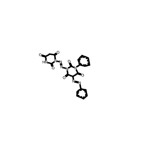 O=C1CC(=O)N(N=NN2C(=O)C(N=Nc3ccccc3)C(=O)N(c3ccccc3)C2=O)C(=O)N1